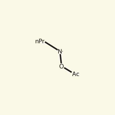 CCC[N]OC(C)=O